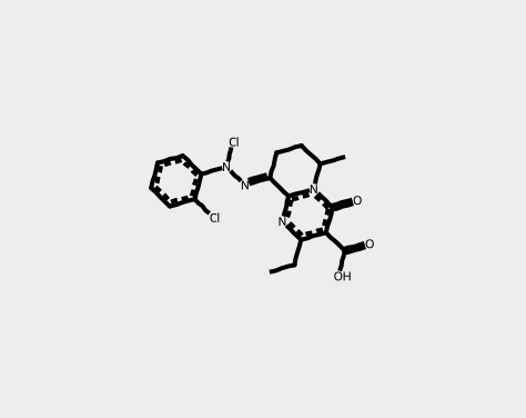 CCc1nc2n(c(=O)c1C(=O)O)C(C)CCC2=NN(Cl)c1ccccc1Cl